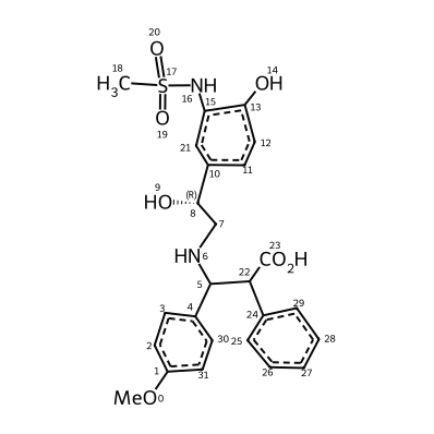 COc1ccc(C(NC[C@H](O)c2ccc(O)c(NS(C)(=O)=O)c2)C(C(=O)O)c2ccccc2)cc1